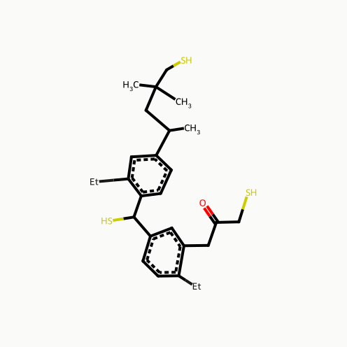 CCc1ccc(C(S)c2ccc(C(C)CC(C)(C)CS)cc2CC)cc1CC(=O)CS